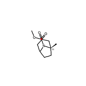 COC(=O)N1C2CC[C@@]1(C)CC(=O)C2